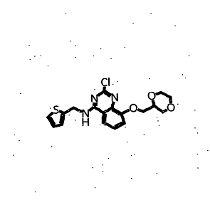 Clc1nc(NCc2cccs2)c2cccc(OCC3COCCO3)c2n1